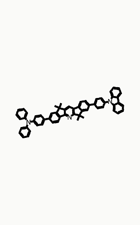 CC1(C)c2cc(-c3ccc(N(c4ccccc4)c4ccccc4)cc3)ccc2-c2nc3c(cc21)-c1ccc(-c2ccc(-n4c5ccccc5c5ccccc54)cc2)cc1C3(C)C